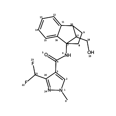 Cn1cc(C(=O)NC23CCC(c4ccccc42)C3CO)c(C(F)F)n1